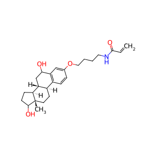 C=CC(=O)NCCCCOc1ccc2c(c1)C(O)C[C@@H]1[C@@H]2CC[C@]2(C)C(O)CC[C@@H]12